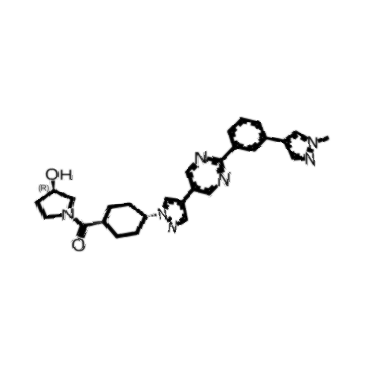 Cn1cc(-c2cccc(-c3ncc(-c4cnn([C@H]5CC[C@H](C(=O)N6CC[C@@H](O)C6)CC5)c4)cn3)c2)cn1